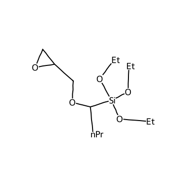 CCCC(OCC1CO1)[Si](OCC)(OCC)OCC